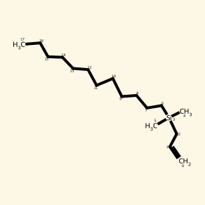 C=CC[Si](C)(C)CCCCCCCCCCCC